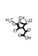 COC1=C(Cl)C(C(=O)C(=O)O)C(=C=O)N1C